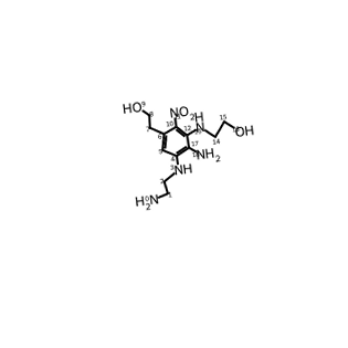 NCCNc1cc(CCO)c([N+](=O)[O-])c(NCCO)c1N